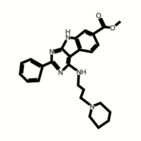 COC(=O)c1ccc2c(c1)[nH]c1nc(-c3ccccc3)nc(NCCCN3CCCCC3)c12